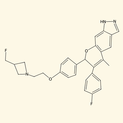 CC1=C(c2ccc(F)cc2)C(c2ccc(OCCN3CC(CF)C3)cc2)Oc2cc3[nH]ncc3cc21